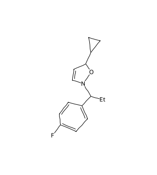 CCC(c1ccc(F)cc1)N1C=CC(C2CC2)O1